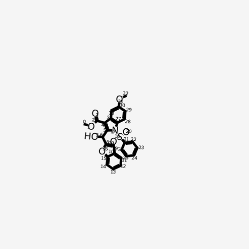 COC(=O)c1c(C(O)c2cc3ccccc3o2)n(S(=O)(=O)c2ccccc2)c2ccc(OC)cc12